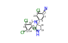 N#Cc1ccc(N(Cc2c(Cl)cc(Cl)cc2Cl)C2CCNC2)cc1Cl